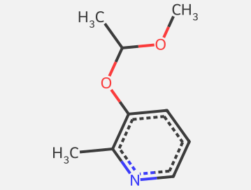 COC(C)Oc1cccnc1C